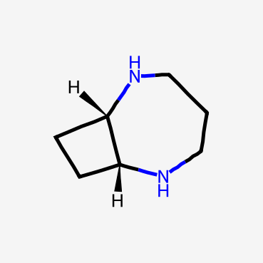 C1CN[C@H]2CC[C@H]2NC1